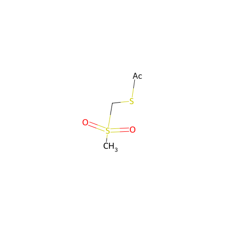 CC(=O)SCS(C)(=O)=O